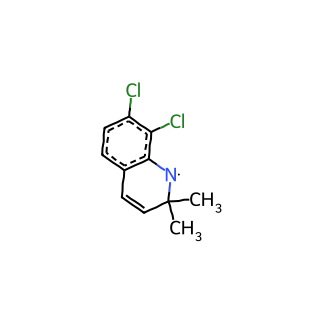 CC1(C)C=Cc2ccc(Cl)c(Cl)c2[N]1